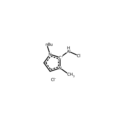 CCCCn1ccn(C)[c+]1[AlH][Cl].[Cl-]